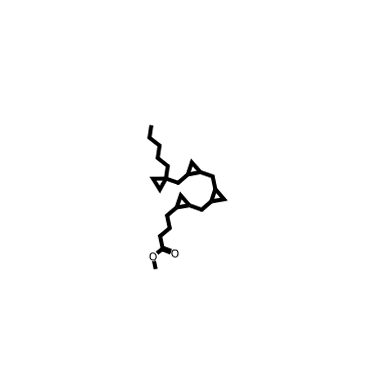 CCCCCC1(CC2CC2CC2CC2CC2CC2CCCC(=O)OC)CC1